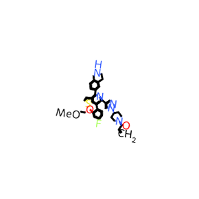 C=CC(=O)N1CCC(n2cc(-c3nc(-c4ccc5c(c4)CCNC5)c4ccsc4c3-c3ccc(F)cc3OCCOC)cn2)CC1